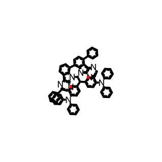 c1ccc(-c2cnc3c(n2)c2cccc4c2n3C(C(c2ccc(N(c3ccccc3)c3ccccc3)cc2)c2ccc(N(c3ccccc3)c3ccccc3)cc2)n2c3nccnc3c3c(-c5ccccc5)ccc-4c32)cc1